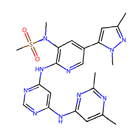 Cc1cc(Nc2cc(Nc3ncc(-c4cc(C)nn4C)cc3N(C)S(C)(=O)=O)ncn2)nc(C)n1